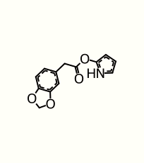 O=C(Cc1ccc2c(c1)OCO2)Oc1ccc[nH]1